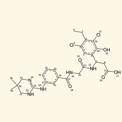 CCc1c(Cl)cc(C(CC(=O)O)NC(=O)CNC(=O)c2cccc(NC3=NCC(C)(C)CN3)c2)c(O)c1Cl